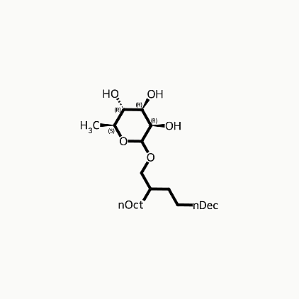 CCCCCCCCCCCCC(CCCCCCCC)COC1O[C@@H](C)[C@H](O)[C@@H](O)[C@H]1O